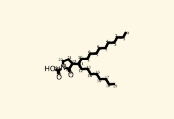 CCCCCCCCCCCC(CCCCCCCC)C1CCN(C(=O)O)C1=O